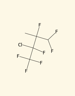 CC(F)(C(F)F)C(F)(Cl)C(F)(F)F